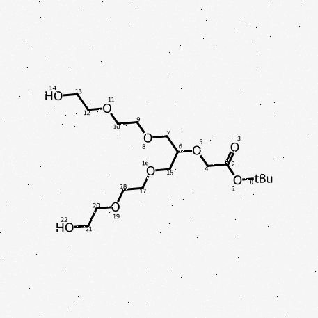 CC(C)(C)OC(=O)COC(COCCOCCO)COCCOCCO